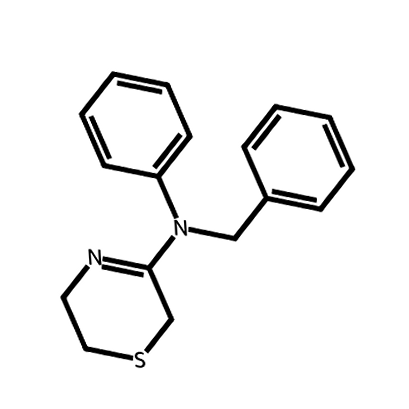 c1ccc(CN(C2=NCCSC2)c2ccccc2)cc1